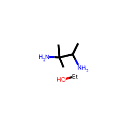 CC(N)C(C)(C)N.CCO